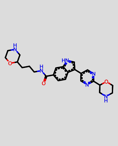 O=C(NCCCC1CNCCO1)c1ccc2c(-c3cnc(C4CNCCO4)nc3)c[nH]c2c1